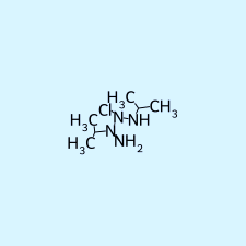 CC(C)NN(Cl)N(N)C(C)C